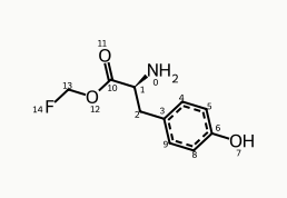 N[C@@H](Cc1ccc(O)cc1)C(=O)OCF